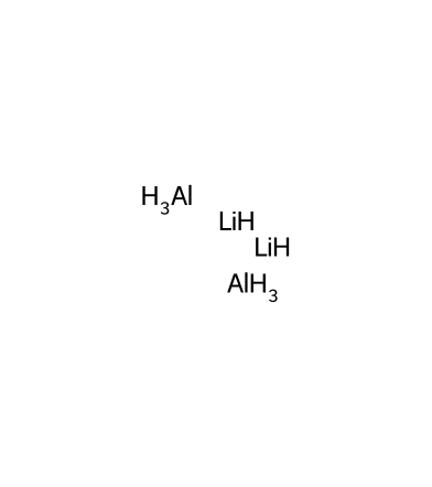 [AlH3].[AlH3].[LiH].[LiH]